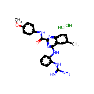 COc1ccc(NC(=O)c2nc(Nc3ccccc3NC(=N)N)c3cc(C)ccc3n2)cc1.Cl.Cl